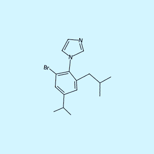 CC(C)Cc1cc(C(C)C)cc(Br)c1-n1ccnc1